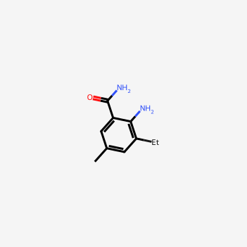 CCc1cc(C)cc(C(N)=O)c1N